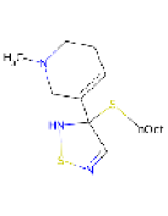 CCCCCCCCSC1(C2=CCCN(C)C2)C=NSN1